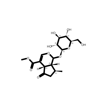 COC(=O)C1=COC(O[C@@H]2O[C@H](CO)[C@@H](O)[C@H](O)[C@H]2O)[C@H]2[C@@H]1C(=O)C[C@@H]2C